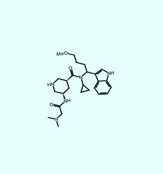 COCCCC(c1c[nH]c2ccccc12)N(C(=O)[C@@H]1CNC[C@H](NC(=O)CN(C)C)C1)C1CC1